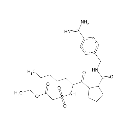 CCCCC[C@@H](NS(=O)(=O)CC(=O)OCC)C(=O)N1CCC[C@H]1C(=O)NCc1ccc(C(=N)N)cc1